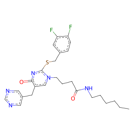 CCCCCCNC(=O)CCCn1cc(Cc2cncnc2)c(=O)nc1SCc1ccc(F)c(F)c1